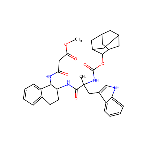 COC(=O)CC(=O)NC1c2ccccc2CCC1NC(=O)C(C)(Cc1c[nH]c2ccccc12)NC(=O)OC1C2CC3CC(C2)CC1C3